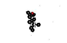 c1ccc(-c2nc(-c3c4ccccc4c(-c4ccc5c(c4)C4(c6ccccc6-5)C5CC6CC(C5)CC4C6)c4ccccc34)c3oc4ccc5ccccc5c4c3n2)cc1